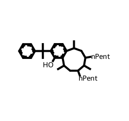 CCCCCC1CC(C)c2ccc(C(C)(C)c3ccccc3)c(O)c2C(C)CC(CCCCC)C1C